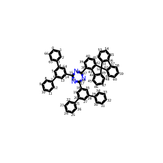 c1ccc(-c2cc(-c3ccccc3)cc(-c3nc(-c4cc(-c5ccccc5)cc(-c5ccccc5)c4)nc(-c4cccc5c4-c4ccccc4C54c5ccccc5-c5ccccc54)n3)c2)cc1